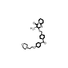 Cc1c(SCc2ccc(C(=O)c3ccc(OCCN4CCOCC4)cc3)cc2)nc2ccccn2c1=O